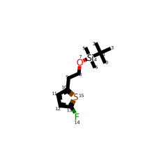 CC(C)(C)[Si](C)(C)OCCc1ccc(F)s1